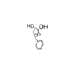 C[C@@](O)(COCc1ccccc1)C(=O)O